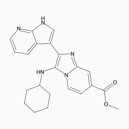 COC(=O)c1ccn2c(NC3CCCCC3)c(-c3c[nH]c4ncccc34)nc2c1